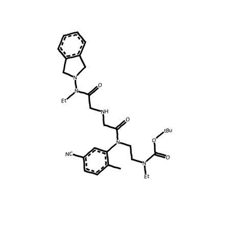 CCN(CCN(C(=O)CNCC(=O)N(CC)N1Cc2ccccc2C1)c1cc(C#N)ccc1C)C(=O)OC(C)(C)C